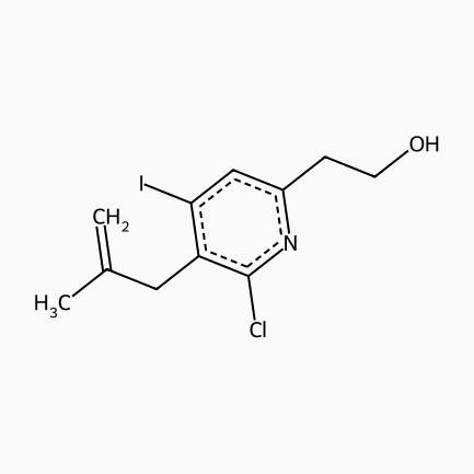 C=C(C)Cc1c(I)cc(CCO)nc1Cl